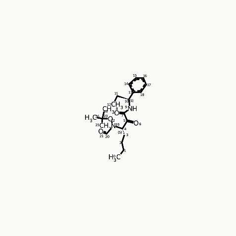 CCCC[C@@H](C(=O)C(=O)N[C@@H](CC)c1ccccc1)N(C=O)OC(C)(C)C